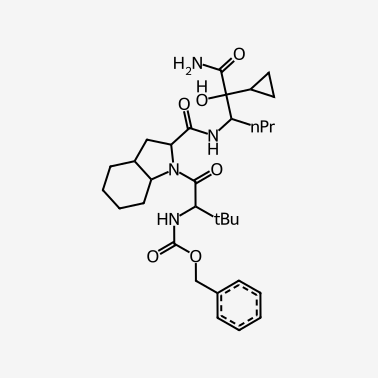 CCCC(NC(=O)C1CC2CCCCC2N1C(=O)C(NC(=O)OCc1ccccc1)C(C)(C)C)C(O)(C(N)=O)C1CC1